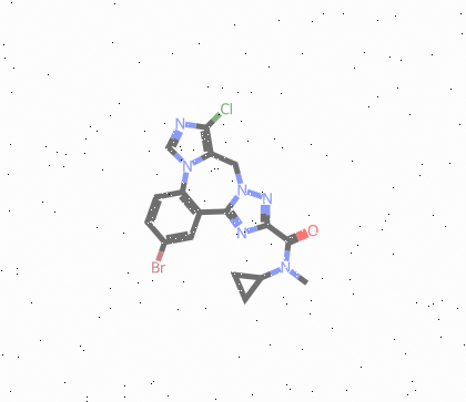 CN(C(=O)c1nc2n(n1)Cc1c(Cl)ncn1-c1ccc(Br)cc1-2)C1CC1